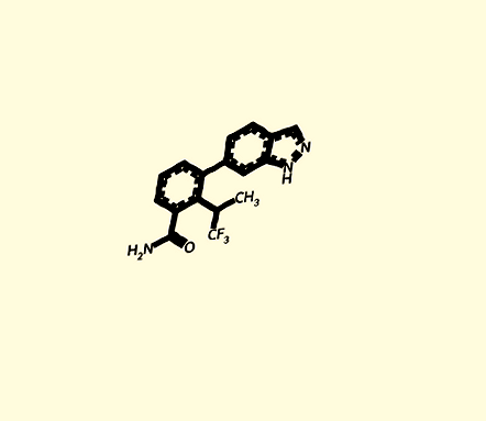 CC(c1c(C(N)=O)cccc1-c1ccc2cn[nH]c2c1)C(F)(F)F